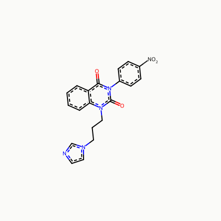 O=c1c2ccccc2n(CCCn2ccnc2)c(=O)n1-c1ccc([N+](=O)[O-])cc1